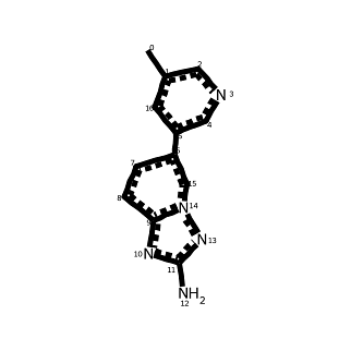 Cc1cncc(-c2ccc3nc(N)nn3c2)c1